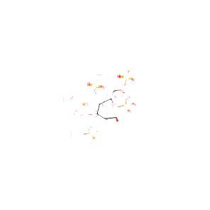 O=C[C@H](OS(=O)(=O)O)[C@@H](OS(=O)(=O)O)[C@H](OS(=O)(=O)O)[C@@H](COS(=O)(=O)O)OS(=O)(=O)O